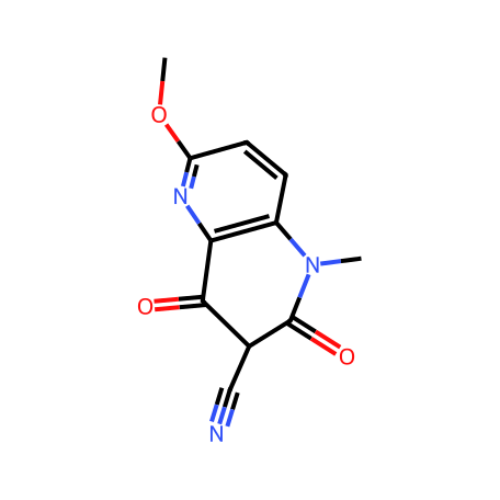 COc1ccc2c(n1)C(=O)C(C#N)C(=O)N2C